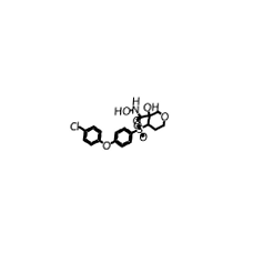 O=C(NO)C1(O)COCCC1S(=O)(=O)c1ccc(Oc2ccc(Cl)cc2)cc1